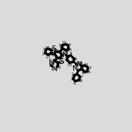 c1ccc(-c2nc(-c3ccc(-n4c5ccccc5c5c6sc7ccccc7c6c6c7ncncc7sc6c54)cc3)nc3ccccc23)cc1